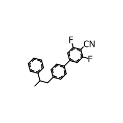 CC(Cc1ccc(-c2cc(F)c(C#N)c(F)c2)cc1)c1ccccc1